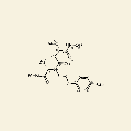 CNC(=O)[C@@H](N(CCCc1ccc(Cl)cc1)C(=O)C[C@H](OC)C(=O)NO)C(C)(C)C